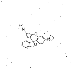 c1ccc2c(c1)COC21c2ccc(N3CCC3)cc2Oc2cc(N3CCC3)ccc21